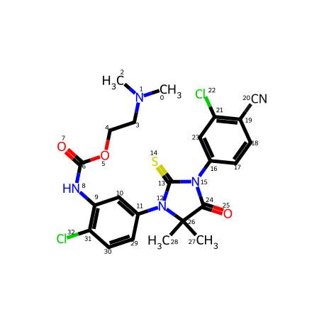 CN(C)CCOC(=O)Nc1cc(N2C(=S)N(c3ccc(C#N)c(Cl)c3)C(=O)C2(C)C)ccc1Cl